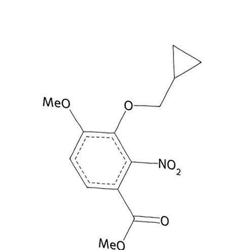 COC(=O)c1ccc(OC)c(OCC2CC2)c1[N+](=O)[O-]